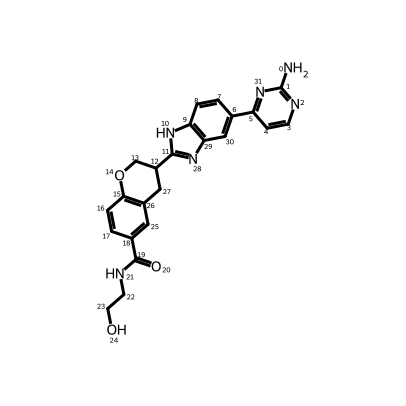 Nc1nccc(-c2ccc3[nH]c(C4COc5ccc(C(=O)NCCO)cc5C4)nc3c2)n1